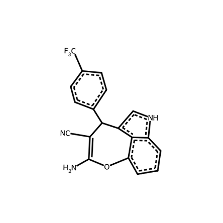 N#CC1=C(N)Oc2cccc3[nH]cc(c23)C1c1ccc(C(F)(F)F)cc1